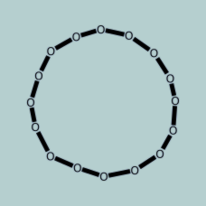 O1OOOOOOOOOOOOOOO1